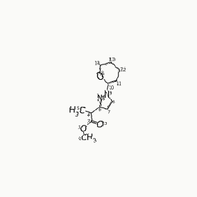 COC(=O)C(C)c1ccn(C2CCCCO2)n1